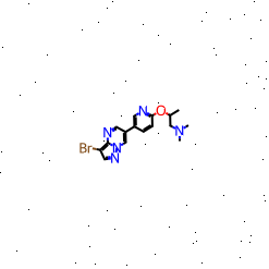 CC(CN(C)C)Oc1ccc(-c2cnc3c(Br)cnn3c2)cn1